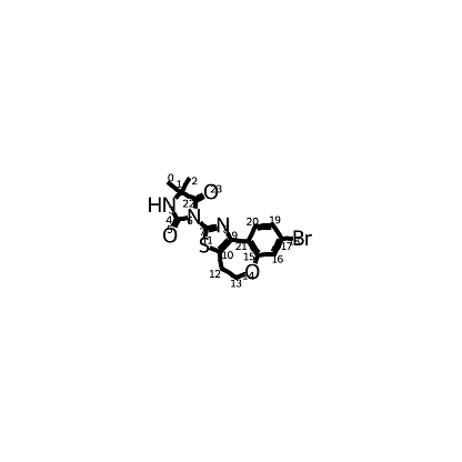 CC1(C)NC(=O)N(c2nc3c(s2)CCOc2cc(Br)ccc2-3)C1=O